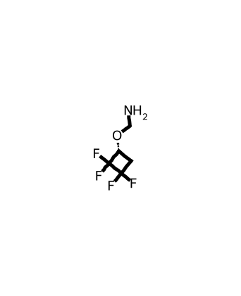 NCO[C@@H]1CC(F)(F)C1(F)F